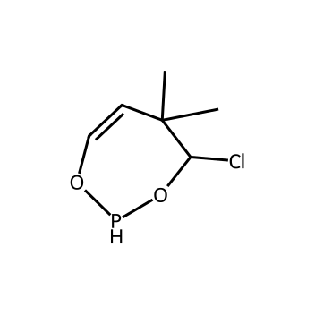 CC1(C)C=COPOC1Cl